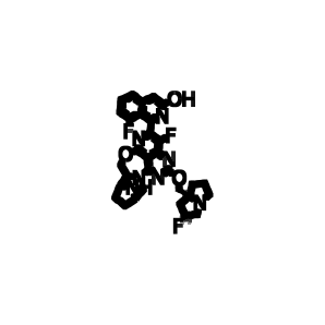 Oc1cc2cccc(F)c2c(-c2nc3c4c(nc(OC[C@@]56CCCN5C[C@H](F)C6)nc4c2F)N2CC4CCC(N4)C2CO3)n1